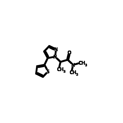 CC(C(=O)N(C)C)n1nccc1-c1cccs1